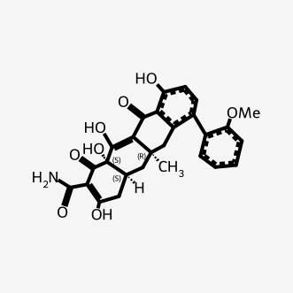 COc1ccccc1-c1ccc(O)c2c1C[C@@]1(C)C[C@H]3CC(O)=C(C(N)=O)C(=O)[C@@]3(O)C(O)=C1C2=O